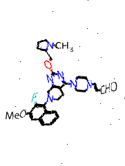 COc1cc2ccccc2c(N2CCc3c(nc(OC[C@H]4CCCN4C)nc3N3CCN(C=CC=O)CC3)C2)c1F